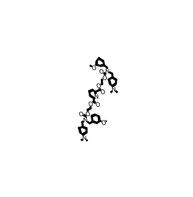 COc1cccc(CN(Cc2ccc(N(C)C)cc2)C(=O)OCCOC(=O)c2cccc(C(=O)OCCOC(=O)N(Cc3ccc(N(C)C)cc3)Cc3cccc(OC)c3)n2)c1